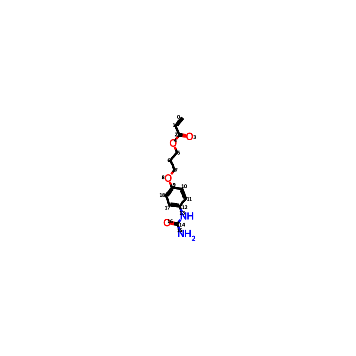 C=CC(=O)OCCCOc1ccc(NC(N)=O)cc1